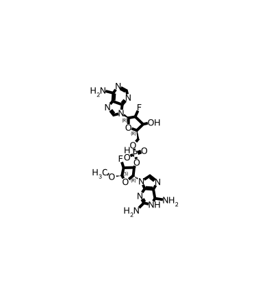 CO[C@H]1O[C@@H](n2cnc3c2N=C(N)NC3N)C(OP(=O)(O)OC[C@H]2O[C@@H](n3cnc4c(N)ncnc43)C(F)C2O)C1F